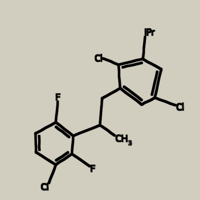 CC(C)c1cc(Cl)cc(CC(C)c2c(F)ccc(Cl)c2F)c1Cl